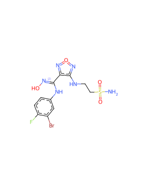 NS(=O)(=O)CCNc1nonc1/C(=N/O)Nc1ccc(F)c(Br)c1